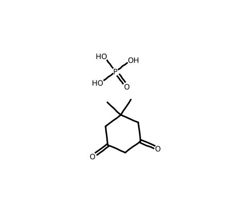 CC1(C)CC(=O)CC(=O)C1.O=P(O)(O)O